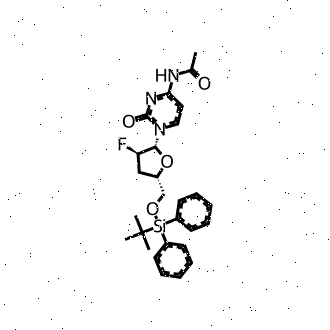 CC(=O)Nc1ccn([C@@H]2O[C@H](CO[Si](c3ccccc3)(c3ccccc3)C(C)(C)C)C[C@H]2F)c(=O)n1